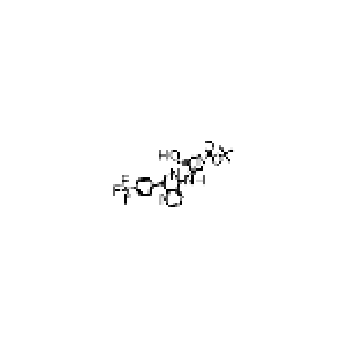 CC(C)(C)OC(=O)N1C[C@@H](CO)[C@H](Nc2ncc(-c3ccc(C(F)(F)F)cc3)c3ncccc23)C1